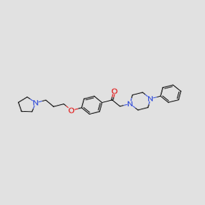 O=C(CN1CCN(c2ccccc2)CC1)c1ccc(OCCCN2CCCC2)cc1